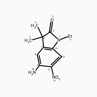 CCN1C(=O)C(C)(C)c2cc(N)c([N+](=O)[O-])cc21